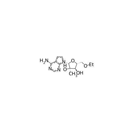 CCOC[C@H]1O[C@@H](n2ccc3c(N)ncnc32)[C@](C)(O)[C@@H]1O